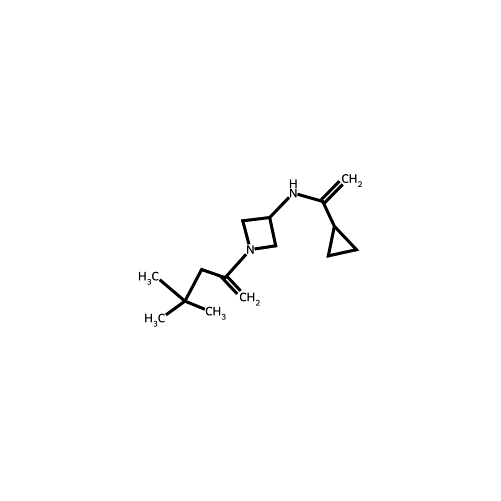 C=C(NC1CN(C(=C)CC(C)(C)C)C1)C1CC1